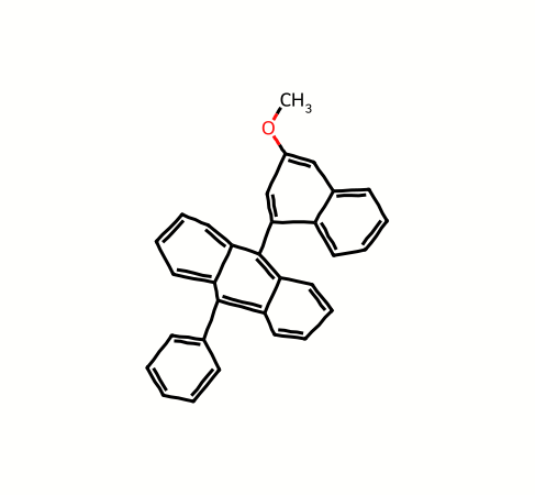 COc1cc(-c2c3ccccc3c(-c3ccccc3)c3ccccc23)c2ccccc2c1